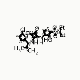 C=C(C)[C@@H](Nc1c(Nc2csc(S(=O)(=O)N(CC)CC)c2O)c(=O)c1=O)c1ccc(Cl)o1